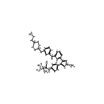 Cn1cc(-c2ccnc(Nc3cccc(CN4CCN(CCO)CC4)c3)n2)c(-c2ccc(NC(=O)C(C)(C)C)cc2)n1